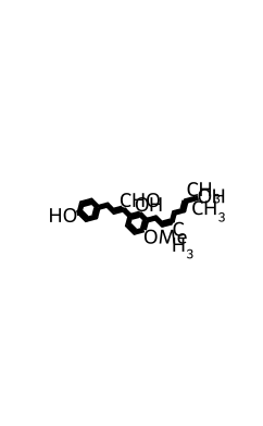 COc1ccc(C(C=O)=CCc2ccc(O)cc2)c(O)c1CC=C(C)CC=CC(C)(C)O